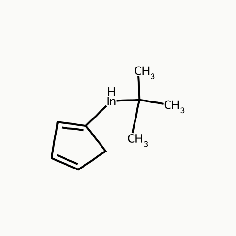 C[C](C)(C)[InH][C]1=CC=CC1